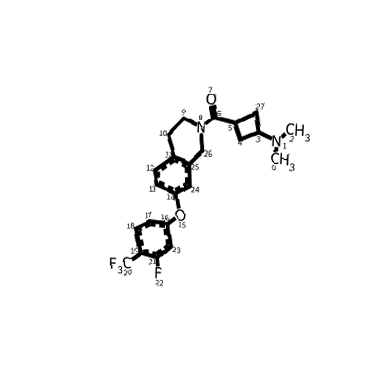 CN(C)C1CC(C(=O)N2CCc3ccc(Oc4ccc(C(F)(F)F)c(F)c4)cc3C2)C1